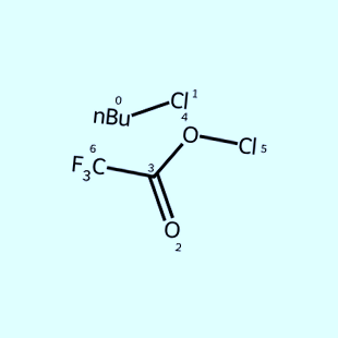 CCCCCl.O=C(OCl)C(F)(F)F